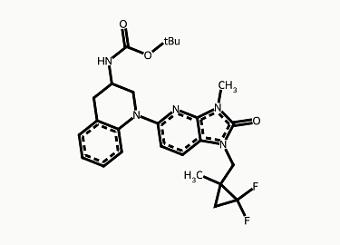 Cn1c(=O)n(CC2(C)CC2(F)F)c2ccc(N3CC(NC(=O)OC(C)(C)C)Cc4ccccc43)nc21